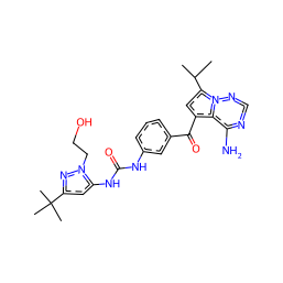 CC(C)c1cc(C(=O)c2cccc(NC(=O)Nc3cc(C(C)(C)C)nn3CCO)c2)c2c(N)ncnn12